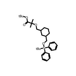 CC(C)(C)OC(=O)C(C)(C)OCC1CCCC(CO[Si](c2ccccc2)(c2ccccc2)C(C)(C)C)C1